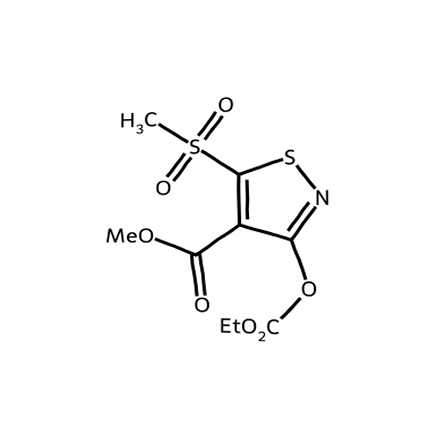 CCOC(=O)Oc1nsc(S(C)(=O)=O)c1C(=O)OC